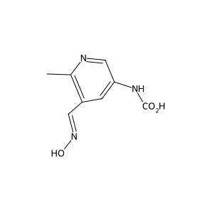 Cc1ncc(NC(=O)O)cc1C=NO